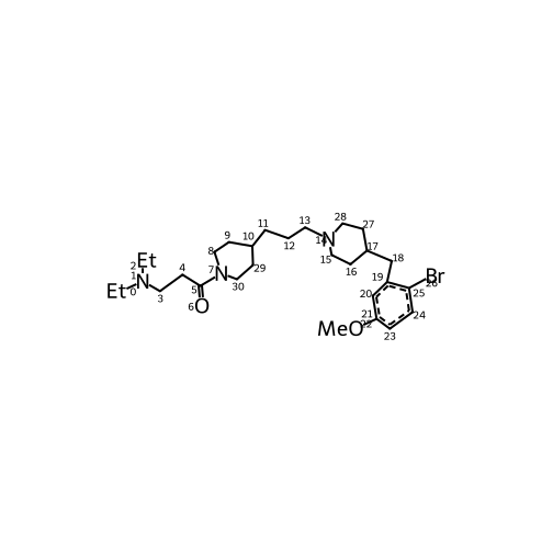 CCN(CC)CCC(=O)N1CCC(CCCN2CCC(Cc3cc(OC)ccc3Br)CC2)CC1